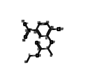 CCOC(=O)C(C)Oc1cc([N+](=O)[O-])[c]cc1Cl